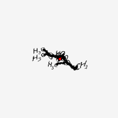 CC/C=C\CCCCOC(CCC(=O)OCC(CO)(COC=O)COC(=O)CCCCCOC(=O)C(CCCC)CCCCCC)OCCCC/C=C\CC